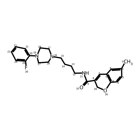 Cc1ccc2c(c1)C=C(C(=O)NCCCCN1CCN(c3ccccc3F)CC1)CO2